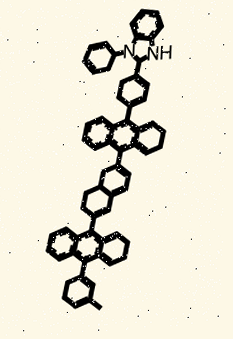 CC1=CCCC(c2c3c(c(C4=CC5=CC=C(c6c7c(c(C8=CC=C(C9Nc%10ccccc%10N9C9C=CC=CC9)CC8)c8ccccc68)=CCCC=7)CC5CC4)c4ccccc24)=CCCC=3)=C1